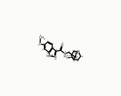 COc1ccc2c(C(=O)NC[C@@H]3CN4CCC3CC4)n[nH]c2c1